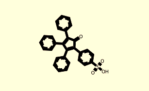 O=C1C(c2ccccc2)=C(c2ccccc2)C(c2ccccc2)=C1c1ccc(S(=O)(=O)O)cc1